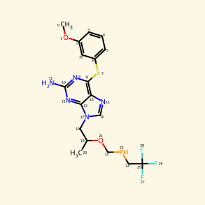 COc1cccc(Sc2nc(N)nc3c2ncn3CC(C)OCPCC(F)(F)F)c1